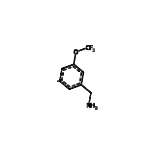 NCc1c[c]cc(OC(F)(F)F)c1